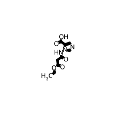 CCOC(=O)CC(=O)Nn1cncc1C(=O)O